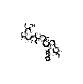 CCC(C(=O)[C@@H](C)[C@@H](O)[C@H](C)[C@@H]1O[C@@H]([C@@H](CC)C(=O)O)CC[C@@H]1C)[C@H]1O[C@]2(C=C[C@@H](NC(=O)NC3CCC3)[C@]3(CC[C@@](C)([C@H]4CC[C@](O)(CC)[C@H](C)O4)O3)O2)[C@H](C)C[C@@H]1C